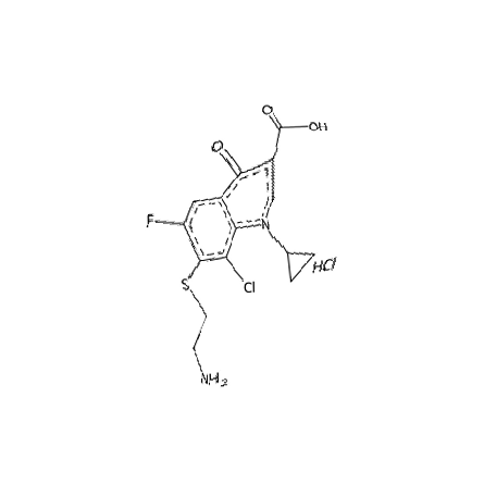 Cl.NCCSc1c(F)cc2c(=O)c(C(=O)O)cn(C3CC3)c2c1Cl